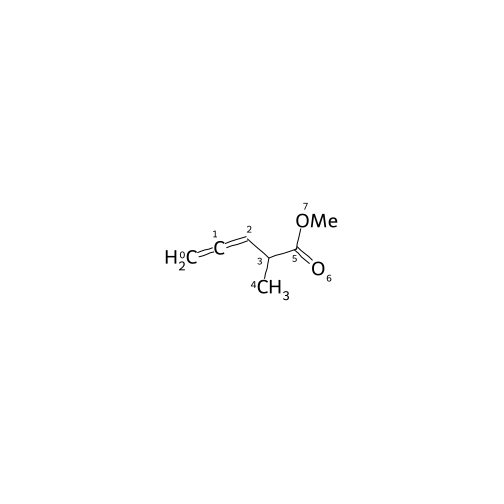 C=C=CC(C)C(=O)OC